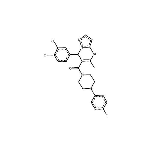 CC1=C(C(=O)N2CCN(c3ccc(F)cc3)CC2)C(c2ccc(Cl)c(Cl)c2)n2nccc2N1